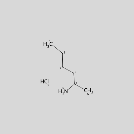 CCCCC(C)N.Cl